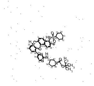 Cc1ccc2c(NS(=O)(=O)C3CCCCC3)c(F)ccc2c1Oc1ncccc1-c1ccnc(N[C@H]2CCCN(C(=O)OC(C)(C)C)C2)n1